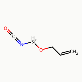 C=CCO[SiH2]N=C=O